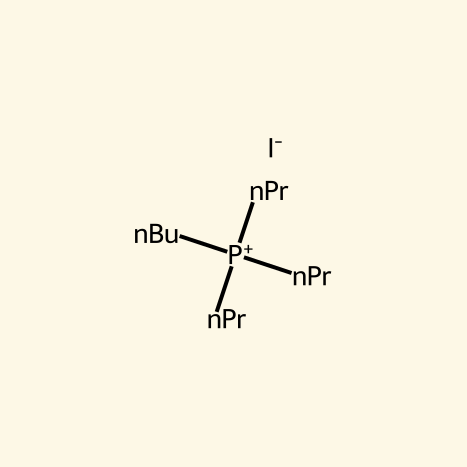 CCCC[P+](CCC)(CCC)CCC.[I-]